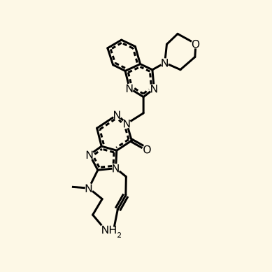 CC#CCn1c(N(C)CCN)nc2cnn(Cc3nc(N4CCOCC4)c4ccccc4n3)c(=O)c21